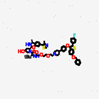 Cc1ncsc1-c1ccc([C@H](C)NC(=O)[C@@H]2C[C@@H](O)CN2C(=O)[C@@H](NC(=O)COCCOCCN2CCC(c3ccc(Oc4c(-c5ccc(F)cc5)sc5cc(OCc6ccccc6)ccc45)cc3)CC2)C(C)(C)C)cc1